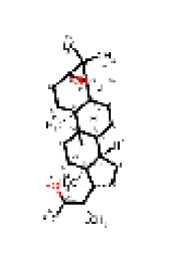 C[C@@H]([C@H]1CC[C@H]2[C@@H]3CC[C@@H]4C5C(C)(C)[C@@]5(O)CC[C@]4(C)[C@H]3CC[C@]12C)[C@H](O)C(F)(F)F